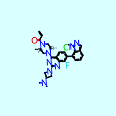 C=CC(=O)N1C[C@H](C)N(c2nc(N3CC(N(C)C)C3)nc3c(F)c(-c4cccc5cnn(C)c45)c(Cl)cc23)C[C@H]1C